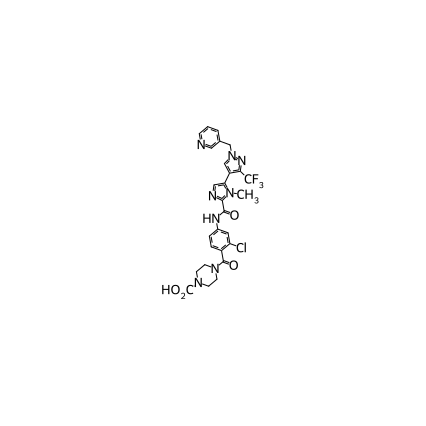 Cn1c(-c2cn(Cc3cccnc3)nc2C(F)(F)F)cnc1C(=O)Nc1ccc(C(=O)N2CCN(C(=O)O)CC2)c(Cl)c1